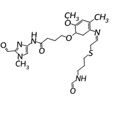 COC1=CC(C)=C(/N=C\CSCCCNC=O)CC1OCCCC(=O)Nc1cn(C)c(C=O)n1